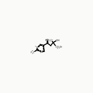 CCOC(=O)C(O)(CC(=O)c1cnc(C(F)(F)F)nc1)C(=O)OCC